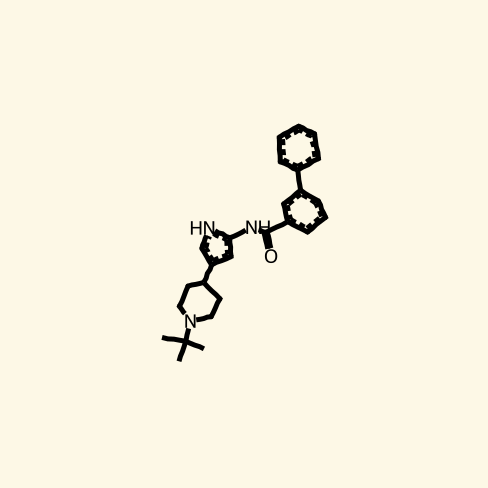 CC(C)(C)N1CCC(c2c[nH]c(NC(=O)c3cccc(-c4ccccc4)c3)c2)CC1